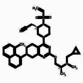 C=CS(=O)(=O)N1CCN(c2nc(OC[C@H](C)N(C)CC3CC3)nc3c2CCN(c2cccc4cccc(C)c24)C3)C[C@@H]1CC#N